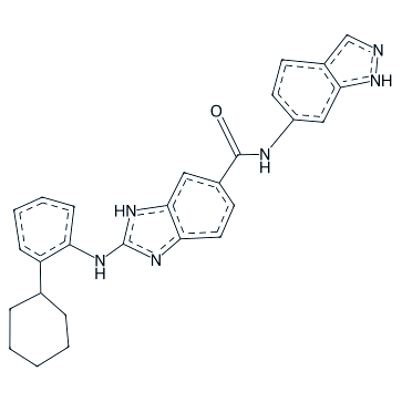 O=C(Nc1ccc2cn[nH]c2c1)c1ccc2nc(Nc3ccccc3C3CCCCC3)[nH]c2c1